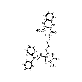 CC(C)(C)OC(=O)NC(CCCCNC(=O)C1Cc2ccccc2CN1C(=O)O)C(=O)NCC(c1ccccc1)c1ccccc1